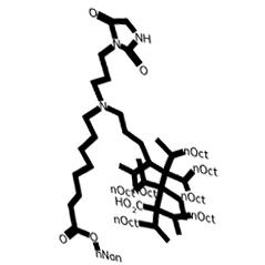 CCCCCCCCCOC(=O)CCCCCCCN(CCCC(C(C)CCCCCCCC)C(C(C)CCCCCCCC)(C(C)CCCCCCCC)C(C(C)CCCCCCCC)(C(C)CCCCCCCC)C(C(=O)O)(C(C)CCCCCCCC)C(C)CCCCCCCC)CCCN1C(=O)CNC1=O